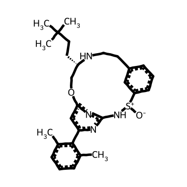 Cc1cccc(C)c1-c1cc2nc(n1)N[S+]([O-])c1cccc(c1)CCN[C@@H](CCC(C)(C)C)CO2